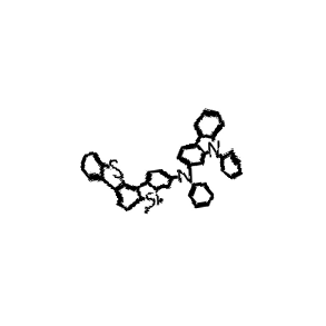 C[Si]1(C)c2cc(N(c3ccccc3)c3ccc4c5ccccc5n(-c5ccccc5)c4c3)ccc2-c2c1ccc1c2sc2ccccc21